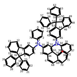 c1ccc(N(c2ccc3c(c2)-c2ccccc2C3(c2ccccc2)c2ccccc2)c2cc(N(c3ccccc3)c3ccc4c(c3)-c3ccccc3C4(c3ccccc3)c3ccccc3)c3c(ccc4ccccc43)c2)cc1